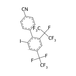 N#Cc1ccc(-c2c(I)[c]c(C(F)(F)C(F)(F)F)cc2C(F)(C(F)(F)F)C(F)(F)F)cc1